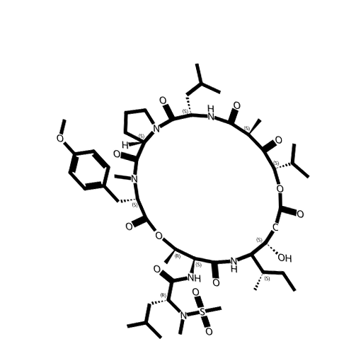 CC[C@H](C)C1NC(=O)[C@@H](NC(=O)[C@@H](CC(C)C)N(C)S(C)(=O)=O)[C@@H](C)OC(=O)[C@H](Cc2ccc(OC)cc2)N(C)C(=O)[C@@H]2CCCN2C(=O)[C@H](CC(C)C)NC(=O)[C@@H](C)C(=O)[C@H](C(C)C)OC(=O)C[C@@H]1O